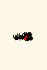 CCC[C@@H](Cc1nnc(-c2ccccc2)o1)N(C(=O)O)[C@H](C(=O)C(C#N)=P(c1ccccc1)(c1ccccc1)c1ccccc1)C(C)(C)CCC